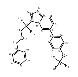 FC(F)(F)Oc1ccc(-c2ccc3nnc(C(F)(F)COCc4ccccn4)n3c2)cc1